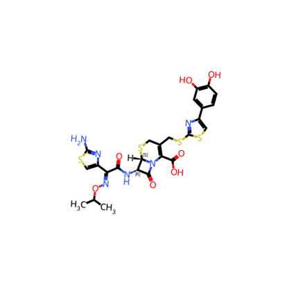 CC(C)ON=C(C(=O)N[C@@H]1C(=O)N2C(C(=O)O)=C(CSc3nc(-c4ccc(O)c(O)c4)cs3)CS[C@@H]12)c1csc(N)n1